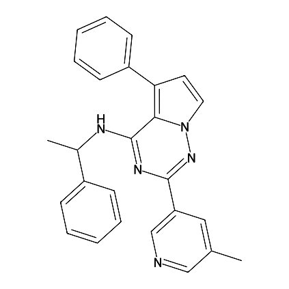 Cc1cncc(-c2nc(NC(C)c3ccccc3)c3c(-c4ccccc4)ccn3n2)c1